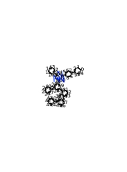 c1ccc(-c2ccc(-c3nc(-c4ccccc4)nc(-c4cc(-c5ccccc5)cc(-c5cccc6c5Cc5c(-c7ccccc7)cccc5-6)c4)n3)cc2)cc1